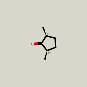 C[C@@H]1CC[C@H](C)C1=O